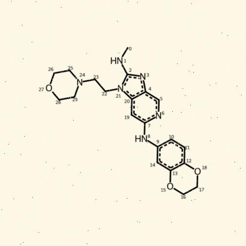 CNc1nc2cnc(Nc3ccc4c(c3)OCCO4)cc2n1CCN1CCOCC1